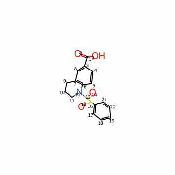 O=C(O)c1ccc2c(c1)CCCN2S(=O)(=O)c1ccccc1